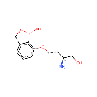 N[C@H](CO)CCOc1cccc2c1B(O)OC2